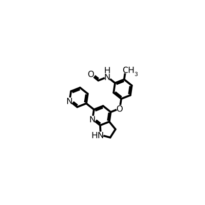 Cc1ccc(Oc2cc(-c3cccnc3)nc3c2CCN3)cc1NC=O